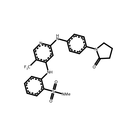 CNS(=O)(=O)c1ccccc1Nc1cc(Nc2ccc(N3CCCC3=O)cc2)ncc1C(F)(F)F